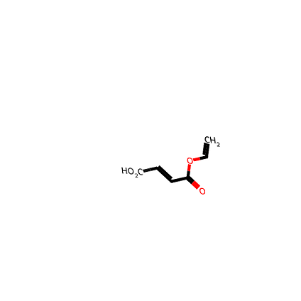 C=COC(=O)C=CC(=O)O